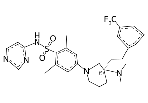 Cc1cc(N2CCC[C@](CCc3cccc(C(F)(F)F)c3)(N(C)C)C2)cc(C)c1S(=O)(=O)Nc1ccncn1